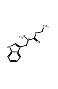 CCOC(=O)[C@H](N)Cc1c[nH]c2ccccc12